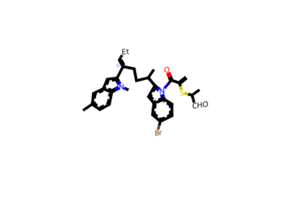 C=C(SC(C)C=O)C(=O)n1c(C(C)CC/C(=C\CC)c2cc3cc(C)ccc3n2C)cc2cc(Br)ccc21